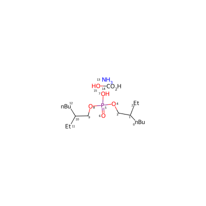 CCCCC(CC)COP(=O)(O)OCC(CC)CCCC.N.O=C(O)O